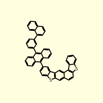 c1cc(-c2cccc3ccccc23)cc(-c2c3ccccc3c(-c3ccc4sc5cc6ccc7sc8ccccc8c7c6cc5c4c3)c3ccccc23)c1